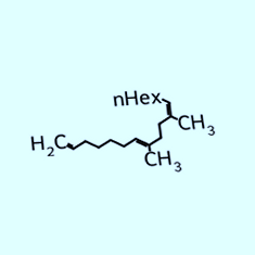 C=CCCCCC=C(C)CCC(C)=CCCCCCC